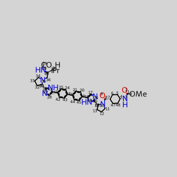 COC(=O)N[C@H]1CC[C@@H](C(=O)N2CCC[C@H]2c2ncc(-c3ccc(-c4ccc(-c5cnc([C@@H]6CCCN6C[C@@H](NC(=O)O)C(C)C)[nH]5)cc4)cc3)[nH]2)CC1